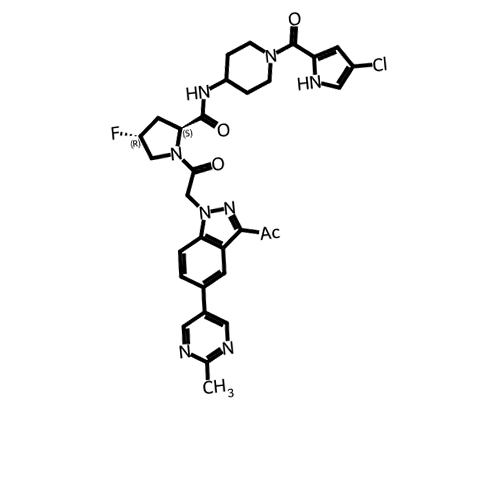 CC(=O)c1nn(CC(=O)N2C[C@H](F)C[C@H]2C(=O)NC2CCN(C(=O)c3cc(Cl)c[nH]3)CC2)c2ccc(-c3cnc(C)nc3)cc12